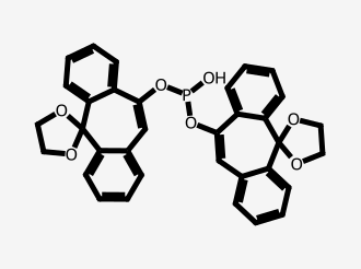 OP(OC1=Cc2ccccc2C2(OCCO2)c2ccccc21)OC1=Cc2ccccc2C2(OCCO2)c2ccccc21